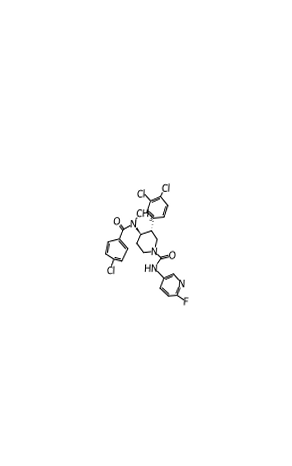 CN(C(=O)c1ccc(Cl)cc1)[C@@H]1CCN(C(=O)Nc2ccc(F)nc2)C[C@H]1c1ccc(Cl)c(Cl)c1